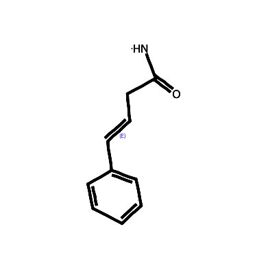 [NH]C(=O)C/C=C/c1ccccc1